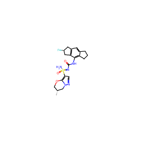 C[C@@H]1COc2c(S(N)(=O)=NC(=O)Nc3c4c(cc5c3C[C@@H](F)C5)CCC4)cnn2C1